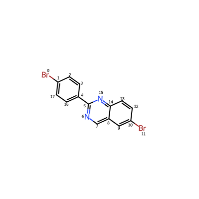 Brc1ccc(-c2ncc3cc(Br)ccc3n2)cc1